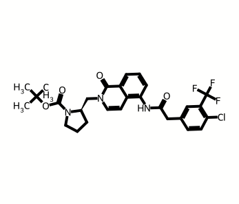 CC(C)(C)OC(=O)N1CCC[C@@H]1Cn1ccc2c(NC(=O)Cc3ccc(Cl)c(C(F)(F)F)c3)cccc2c1=O